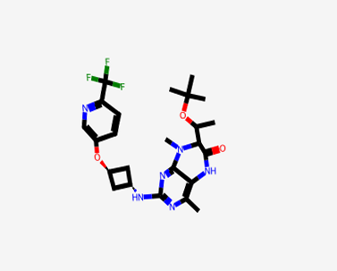 Cc1nc(N[C@H]2C[C@H](Oc3ccc(C(F)(F)F)nc3)C2)nc2c1NC(=O)C(C(C)OC(C)(C)C)N2C